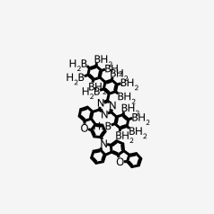 Bc1c(B)c(B)c(-c2nc(-c3c(B)c(B)c(B)c(-c4c(B)c(B)c(B)c(B)c4B)c3B)nc(-c3cccc4oc5cc(-n6c7ccccc7c7c8oc9ccccc9c8ccc76)ccc5c34)n2)c(B)c1B